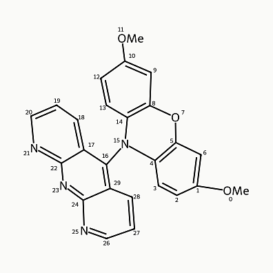 COc1ccc2c(c1)Oc1cc(OC)ccc1N2c1c2cccnc2nc2ncccc12